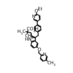 CCOc1ccc(-c2ccc(Cc3c(CC(C)(C)C(=O)O)[nH]c4ccc(OCc5ccc(C)cn5)cc34)cc2)cn1